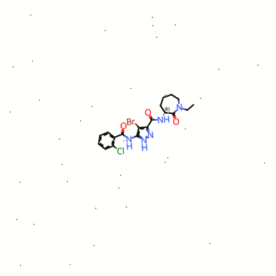 CCN1CCCC[C@@H](NC(=O)c2n[nH]c(NC(=O)c3ccccc3Cl)c2Br)C1=O